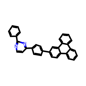 c1ccc(-c2nccc(-c3ccc(-c4ccc5c6ccccc6c6ccccc6c5c4)cc3)n2)cc1